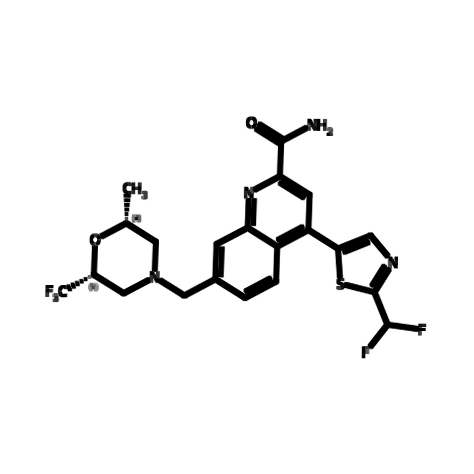 C[C@@H]1CN(Cc2ccc3c(-c4cnc(C(F)F)s4)cc(C(N)=O)nc3c2)C[C@H](C(F)(F)F)O1